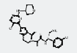 CC(C(=O)N[C@H](CN)c1cccc(Cl)c1)N1CCc2sc(-c3nc(NC4CCOCC4)ncc3Cl)cc2C1=O